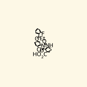 CCC(Oc1ccc(Cl)c(-n2c(=O)[nH]c3scc(C(=O)O)c3c2=O)c1)c1ccccc1F